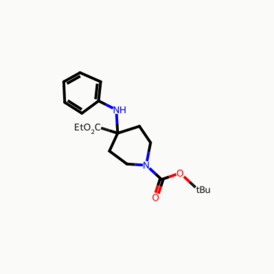 CCOC(=O)C1(Nc2ccccc2)CCN(C(=O)OC(C)(C)C)CC1